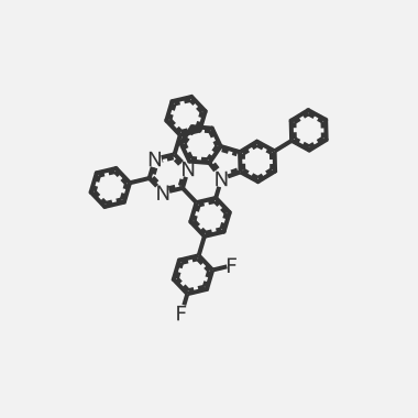 Fc1ccc(-c2ccc(-n3c4ccccc4c4cc(-c5ccccc5)ccc43)c(-c3nc(-c4ccccc4)nc(-c4ccccc4)n3)c2)c(F)c1